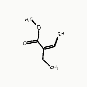 CCC(=CS)C(=O)OC